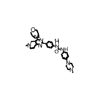 CN1CCN(c2ccc(NC(=O)Nc3ccc(-c4nc5c(c(N6C7CCC6COC7)n4)CN(C)CC5)cc3)cc2)CC1